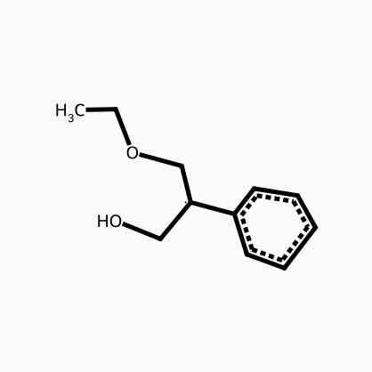 CCOC[C](CO)c1ccccc1